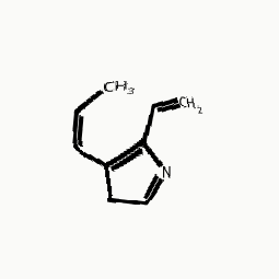 C=CC1=C(/C=C\C)CC=N1